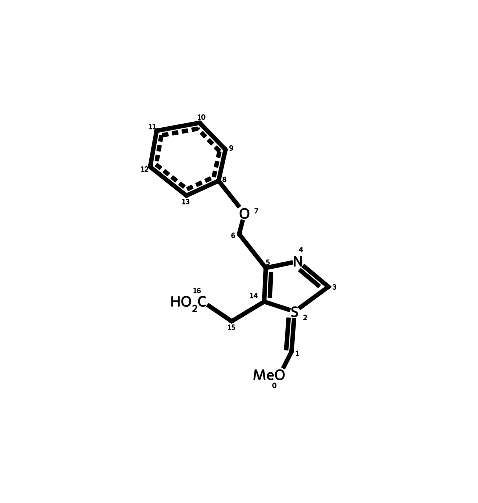 COC=S1C=NC(COc2ccccc2)=C1CC(=O)O